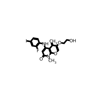 C=C1C(OCCO)=COc2c1c(Nc1ccc(I)cc1F)cc(=O)n2C